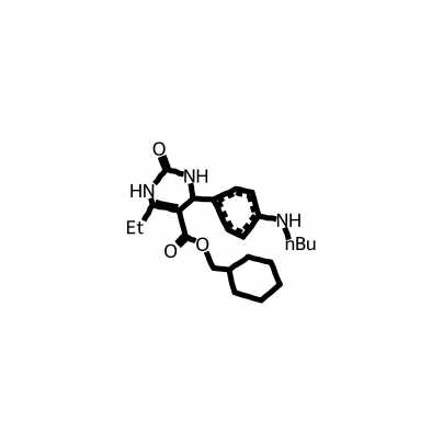 CCCCNc1ccc(C2NC(=O)NC(CC)=C2C(=O)OCC2CCCCC2)cc1